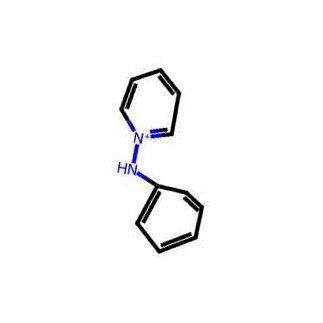 c1ccc(N[n+]2ccccc2)cc1